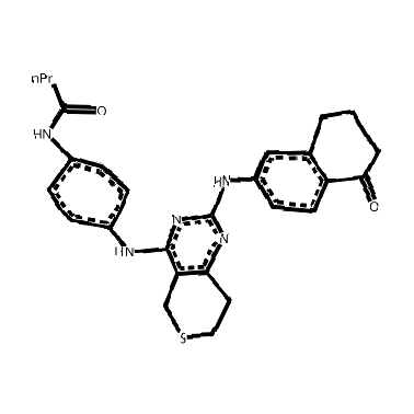 CCCC(=O)Nc1ccc(Nc2nc(Nc3ccc4c(c3)CCCC4=O)nc3c2CSCC3)cc1